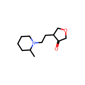 CC1CCCCN1CCC1COCC1=O